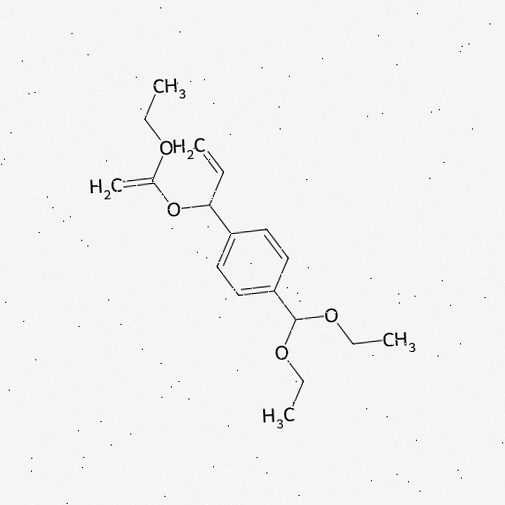 C=CC(OC(=C)OCC)c1ccc(C(OCC)OCC)cc1